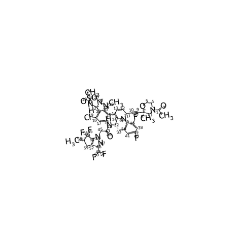 CC(=O)N1CCO[C@](C)(C#Cc2ccc(-c3ccc(Cl)c4c(NS(C)(=O)=O)nn(C)c34)c([C@H](Cc3cc(F)cc(F)c3)NC(=O)Cn3nc(C(F)F)c4c3C(F)(F)[C@H](C)C4)n2)C1